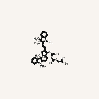 CCCCC(CC)CSC(=N)SC(=N)SC1=C(/C=C/C2=[N+](CCCC)c3ccccc3C2(C)C)CC/C1=C\C=C1\N(CCCC)c2ccccc2C1(C)C